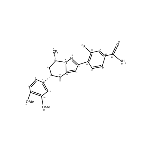 COc1ccc([C@@H]2C[C@H](C(F)(F)F)n3nc(-c4ccc(C(N)=O)cc4F)cc3N2)cc1OC